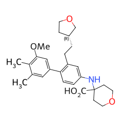 COc1cc(-c2ccc(NC3(C(=O)O)CCOCC3)cc2CC[C@@H]2CCOC2)cc(C)c1C